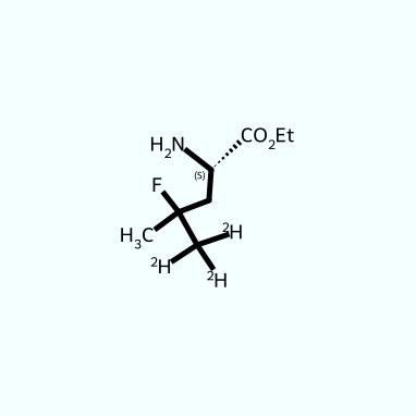 [2H]C([2H])([2H])C(C)(F)C[C@H](N)C(=O)OCC